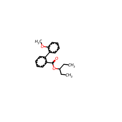 CCC(CC)OC(=O)c1ccccc1-c1ccccc1OC